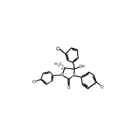 C[C@H]1N(c2ccc(Cl)cc2)C(=O)N(c2ccc(Cl)cc2)C1(O)c1cccc(Cl)c1